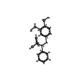 COc1ccc(C[C](c2ccccc2)[N+](=O)[O-])cc1OC